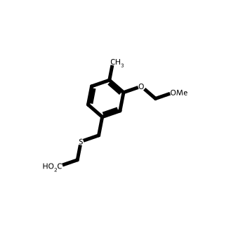 COCOc1cc(CSCC(=O)O)ccc1C